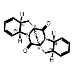 O=C1N2[C@@H]3C=CC=C[C@@H]3C[C@]23SS[C@]12C[C@H]1C=CC=C[C@H]1N2C3=O